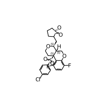 O=S1(=O)CCCC1C[C@@H]1OCC[C@@]2(S(=O)(=O)c3ccc(Cl)cc3)c3c(F)ccc(F)c3OC[C@@H]12